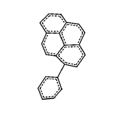 [c]1cccc(-c2ccc3ccc4cccc5ccc2c3c45)c1